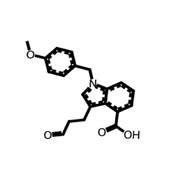 COc1ccc(Cn2cc(CCC=O)c3c(C(=O)O)cccc32)cc1